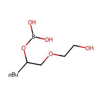 CCCCC(COCCO)OB(O)O